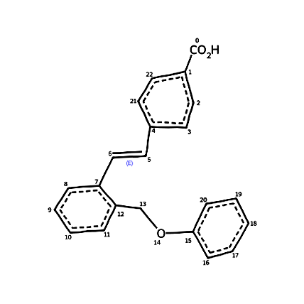 O=C(O)c1ccc(/C=C/c2ccccc2COc2ccccc2)cc1